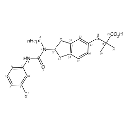 CCCCCCCN(C(=O)Nc1cccc(Cl)c1)C1Cc2ccc(SC(C)(C)C(=O)O)cc2C1